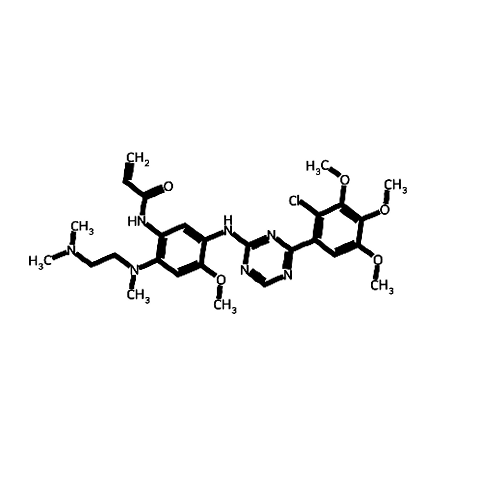 C=CC(=O)Nc1cc(Nc2ncnc(-c3cc(OC)c(OC)c(OC)c3Cl)n2)c(OC)cc1N(C)CCN(C)C